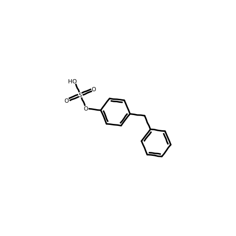 O=S(=O)(O)Oc1ccc(Cc2ccccc2)cc1